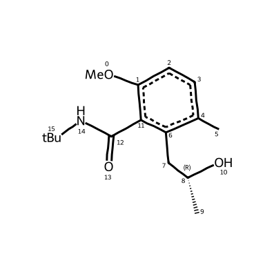 COc1ccc(C)c(C[C@@H](C)O)c1C(=O)NC(C)(C)C